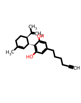 C#CCCCCc1cc(O)c([C@@H]2C=C(C)CC[C@H]2C(=C)C)c(O)c1